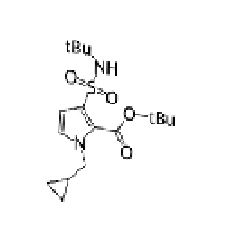 CC(C)(C)NS(=O)(=O)c1ccn(CC2CC2)c1C(=O)OC(C)(C)C